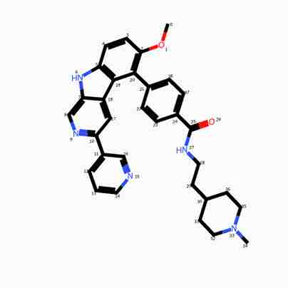 COc1ccc2[nH]c3cnc(-c4cccnc4)cc3c2c1-c1ccc(C(=O)NCCC2CCN(C)CC2)cc1